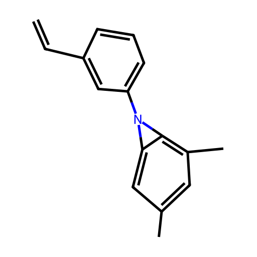 C=Cc1cccc(N2c3cc(C)cc(C)c32)c1